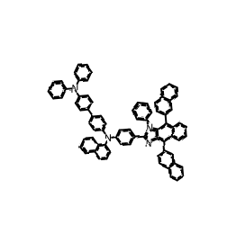 c1ccc(N(c2ccccc2)c2ccc(-c3ccc(N(c4ccc(-c5nc6c(-c7ccc8ccccc8c7)c7ccccc7c(-c7ccc8ccccc8c7)c6n5-c5ccccc5)cc4)c4cccc5ccccc45)cc3)cc2)cc1